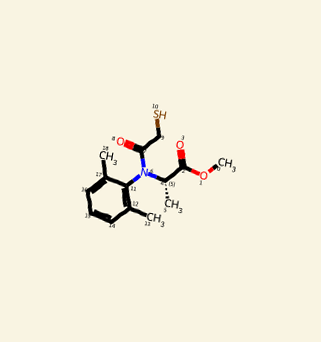 COC(=O)[C@H](C)N(C(=O)CS)c1c(C)cccc1C